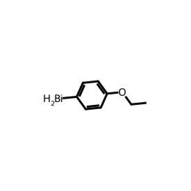 CCOc1cc[c]([BiH2])cc1